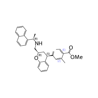 C=C(/C=C(C)\C(=C/C)C(=O)OC)[C@@H]1C[C@H](CN[C@H](C)c2cccc3ccccc23)Oc2ccccc21